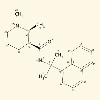 C[C@H]1[C@@H](C(=O)NC(C)(C)c2cccc3ccccc23)CCCN1C